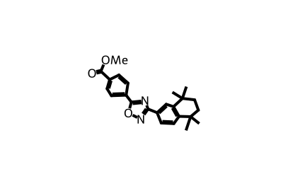 COC(=O)c1ccc(-c2nc(-c3ccc4c(c3)C(C)(C)CCC4(C)C)no2)cc1